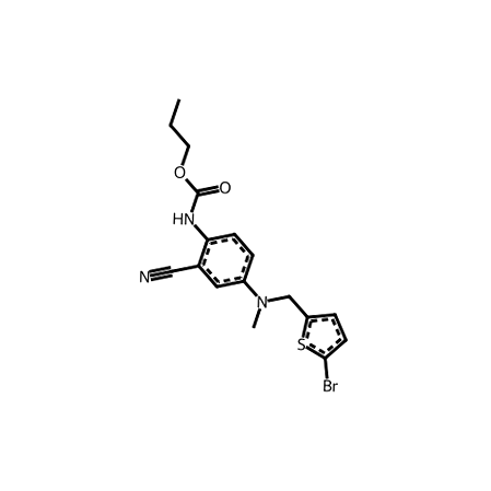 CCCOC(=O)Nc1ccc(N(C)Cc2ccc(Br)s2)cc1C#N